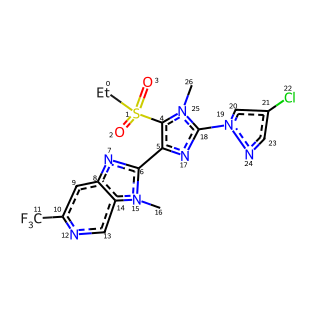 CCS(=O)(=O)c1c(-c2nc3cc(C(F)(F)F)ncc3n2C)nc(-n2cc(Cl)cn2)n1C